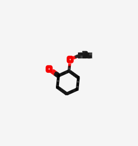 CCCCOC1CCCCC1=O